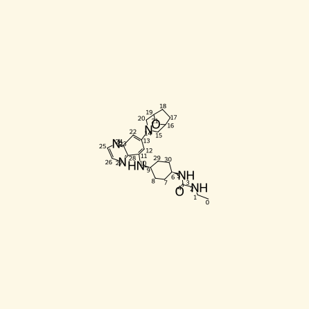 CCNC(=O)N[C@H]1CC[C@@H](Nc2cc(N3CC4CCC(C3)O4)cc3nccnc23)CC1